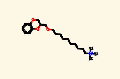 CC[N+](CC)(CC)CCCCCCCCCCOCC1COc2ccccc2O1